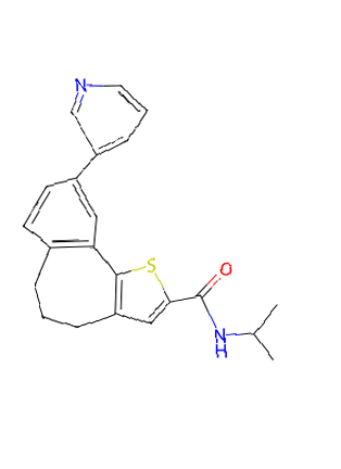 CC(C)NC(=O)c1cc2c(s1)-c1cc(-c3cccnc3)ccc1CCC2